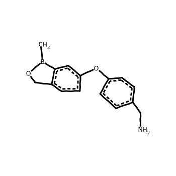 CB1OCc2ccc(Oc3ccc(CN)cc3)cc21